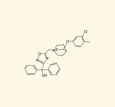 Cc1ccc(OC2C[N+]3(Cc4nc(C(O)(c5ccccc5)c5ccccc5)no4)CCC2CC3)cc1Cl